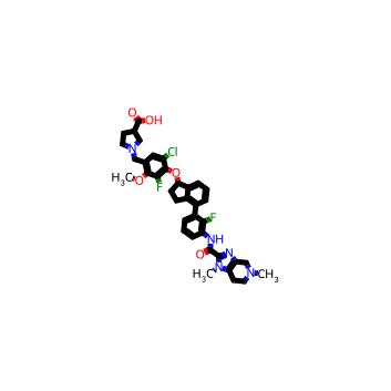 COc1c(CN2CCC(C(=O)O)C2)cc(Cl)c(OC2CCc3c(-c4cccc(NC(=O)c5nc6c(n5C)CCN(C)C6)c4F)cccc32)c1F